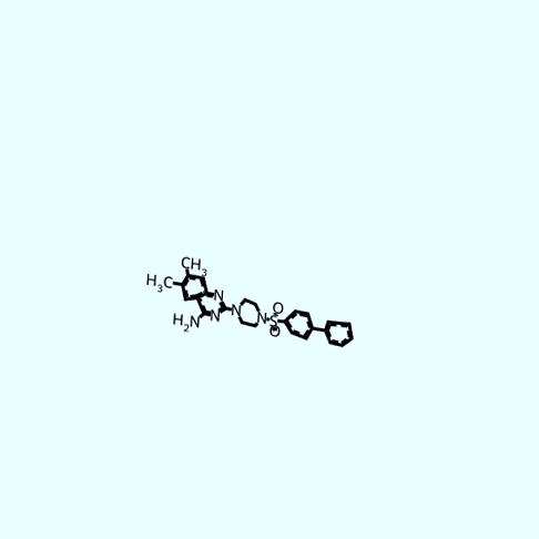 Cc1cc2nc(N3CCN(S(=O)(=O)c4ccc(-c5ccccc5)cc4)CC3)nc(N)c2cc1C